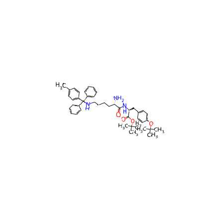 Cc1ccc(C(NCCCC[C@H](N)C(=O)N[C@@H](Cc2ccc(OC(C)(C)C)cc2)C(=O)OC(C)(C)C)(c2ccccc2)c2ccccc2)cc1